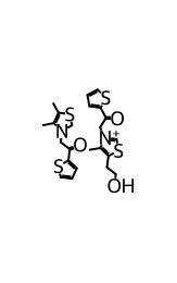 CC1=C(C)N(CC(=O)c2cccs2)CS1.Cc1c(CCO)sc[n+]1CC(=O)c1cccs1